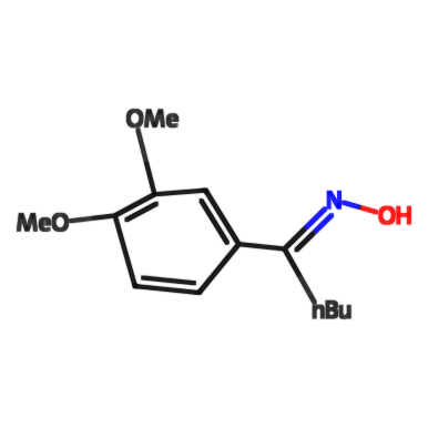 CCCCC(=NO)c1ccc(OC)c(OC)c1